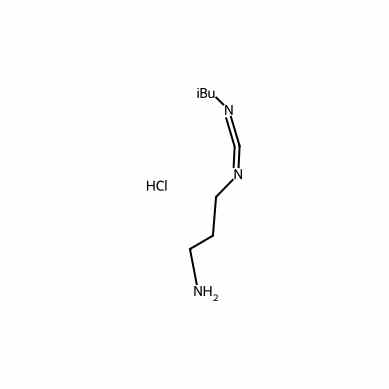 CCC(C)N=C=NCCCN.Cl